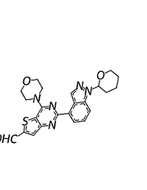 O=Cc1cc2nc(-c3cccc4c3cnn4C3CCCCO3)nc(N3CCOCC3)c2s1